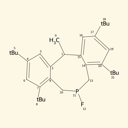 CC1c2cc(C(C)(C)C)cc(C(C)(C)C)c2CP(F)Cc2c1cc(C(C)(C)C)cc2C(C)(C)C